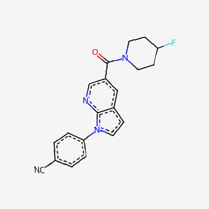 N#Cc1ccc(-n2ccc3cc(C(=O)N4CCC(F)CC4)cnc32)cc1